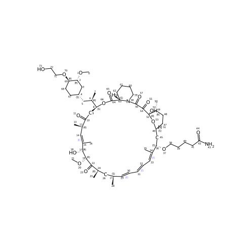 CO[C@@H]1C[C@H](C[C@@H](C)[C@@H]2CC(=O)[C@H](C)/C=C(\C)[C@@H](O)[C@@H](OC)C(=O)[C@H](C)C[C@H](C)/C=C/C=C/C=C(\C)[C@@H](OCCCCC(N)=O)C[C@@H]3CC[C@@H](C)[C@@](O)(O3)C(=O)C(=O)N3CCCC[C@H]3C(=O)O2)CC[C@H]1OCCO